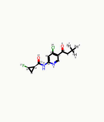 [2H]C([2H])([2H])CC(=O)c1cnc(NC(=O)[C@H]2C[C@H]2F)cc1Cl